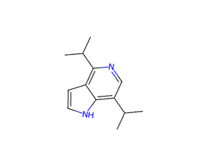 CC(C)c1ncc(C(C)C)c2[nH]ccc12